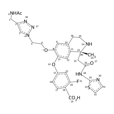 CC(=O)NCc1cn(CCOc2cc3c(cc2Oc2ccc(C(=O)O)c(F)c2)[C@@](C)(CC(=O)Nc2nccs2)NCC3)nn1